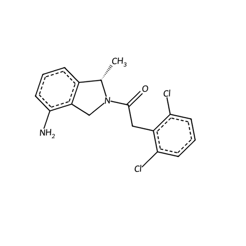 C[C@H]1c2cccc(N)c2CN1C(=O)Cc1c(Cl)cccc1Cl